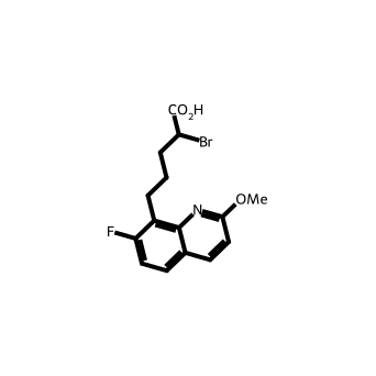 COc1ccc2ccc(F)c(CCCC(Br)C(=O)O)c2n1